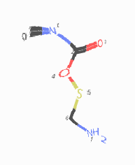 C=NC(=O)OSCN